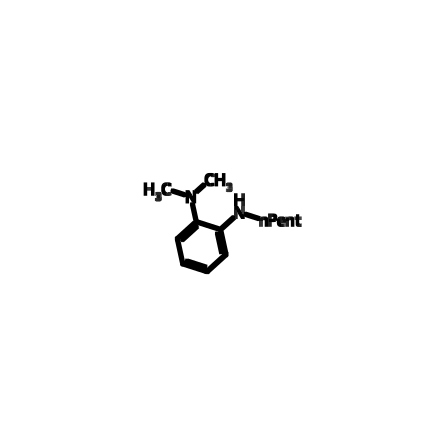 CCCCCNc1ccccc1N(C)C